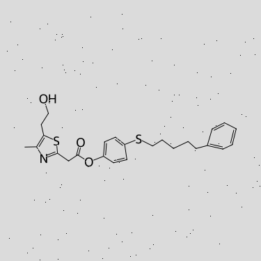 Cc1nc(CC(=O)Oc2ccc(SCCCCCc3ccccc3)cc2)sc1CCO